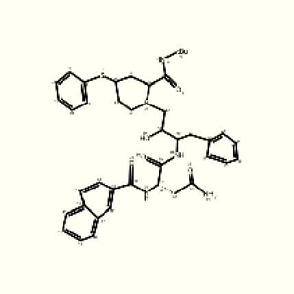 CC(C)(C)NC(=O)C1CC(Sc2ccccc2)CCN1CC(O)C(Cc1ccccc1)NC(=O)[C@H](CC(N)=O)NC(=O)c1ccc2ccccc2c1